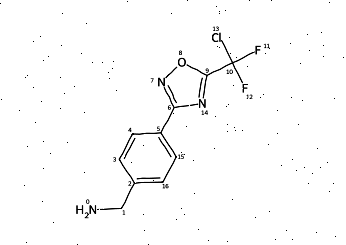 NCc1ccc(-c2noc(C(F)(F)Cl)n2)cc1